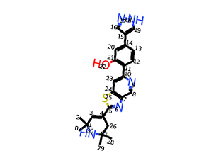 CC1(C)C=C(c2nc3cnc(-c4ccc(-c5cn[nH]c5)cc4O)cc3s2)CC(C)(C)N1